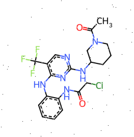 CC(=O)N1CCCC(Nc2ncc(C(F)(F)F)c(Nc3ccccc3NC(=O)CCl)n2)C1